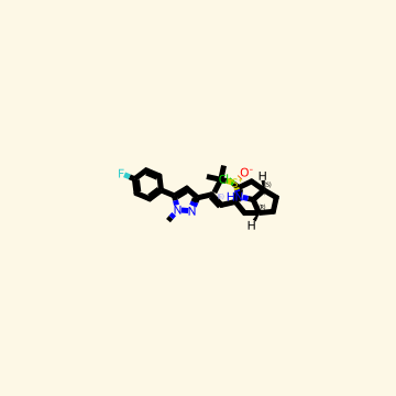 Cn1nc(/C=C/C2=C(Cl)C[C@@H]3CC[C@H](C2)C3N[S+]([O-])C(C)(C)C)cc1-c1ccc(F)cc1